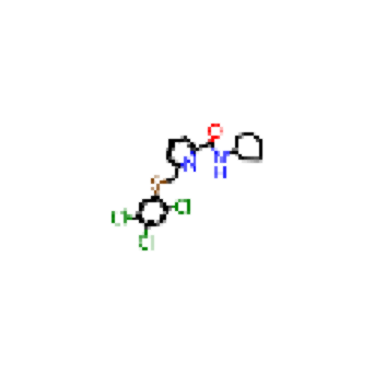 O=C(NC1CCCCC1)c1cccc(CSc2cc(Cl)c(Cl)cc2Cl)n1